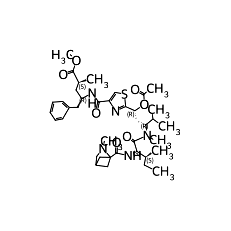 CC[C@H](C)[C@H](NC(=O)C12CC(CN1C)C2)C(=O)N(C)[C@H](C[C@@H](OC(C)=O)c1nc(C(=O)N[C@@H](Cc2ccccc2)C[C@H](C)C(=O)OC)cs1)C(C)C